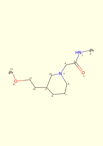 CC(C)NC(=O)CN1CCCC(CCOC(C)C)C1